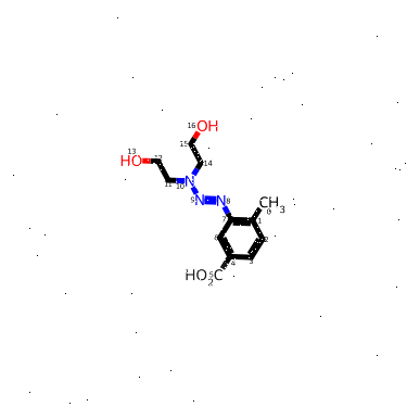 Cc1ccc(C(=O)O)cc1N=NN(CCO)CCO